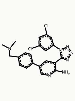 CN(C)Cc1ccc(-c2cnc(N)c(-c3nnnn3-c3cc(Cl)cc(Cl)c3)c2)cc1